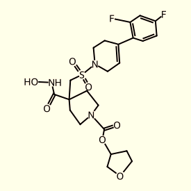 O=C(OC1CCOC1)N1CCC(CS(=O)(=O)N2CC=C(c3ccc(F)cc3F)CC2)(C(=O)NO)CC1